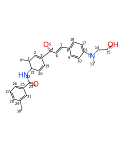 CC1C=C(C(=O)/C=C/c2ccc(N(C)CCO)cc2)C=CC1NC(=O)c1cccc(I)c1